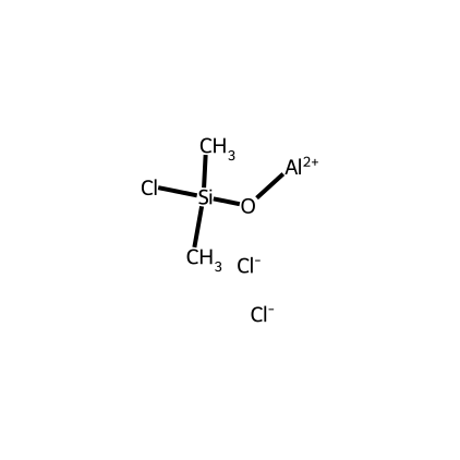 C[Si](C)(Cl)[O][Al+2].[Cl-].[Cl-]